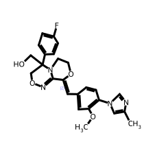 COc1cc(/C=C2\OCCN3C2=NOCC3(CO)c2ccc(F)cc2)ccc1-n1cnc(C)c1